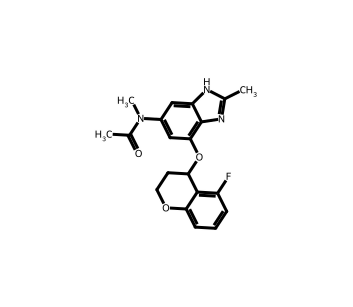 CC(=O)N(C)c1cc(OC2CCOc3cccc(F)c32)c2nc(C)[nH]c2c1